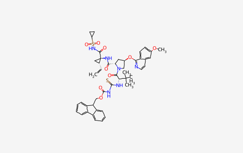 C=C[C@@H]1C[C@]1(NC(=O)[C@@H]1C[C@@H](Oc2nccc3cc(OC)ccc23)CN1C(=O)[C@@H](NC(=S)NC(=O)OCC1c2ccccc2-c2ccccc21)C(C)(C)C)C(=O)NS(=O)(=O)C1CC1